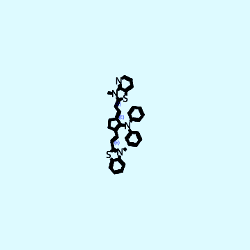 CN1/C(=C/C=C2\CCC(/C=C/c3sc4ccccc4[n+]3C)=C2N(c2ccccc2)c2ccccc2)Sc2cccnc21